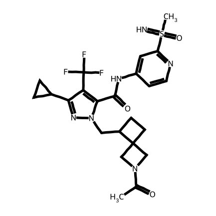 CC(=O)N1CC2(CCC2Cn2nc(C3CC3)c(C(F)(F)F)c2C(=O)Nc2ccnc(S(C)(=N)=O)c2)C1